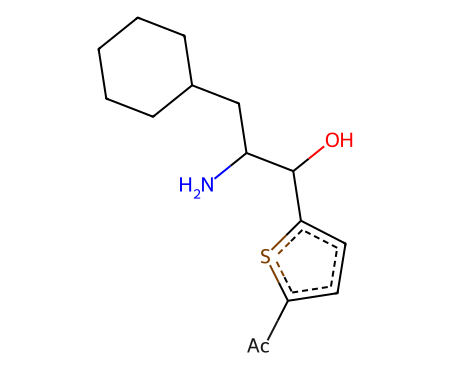 CC(=O)c1ccc(C(O)C(N)CC2CCCCC2)s1